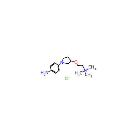 C[N+](C)(C)CCOC1CCN(c2ccc(N)cc2)C1.[Cl-]